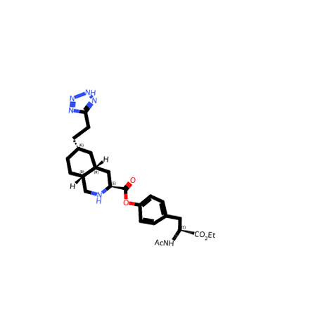 CCOC(=O)[C@H](Cc1ccc(OC(=O)[C@@H]2C[C@H]3C[C@@H](CCc4nn[nH]n4)CC[C@H]3CN2)cc1)NC(C)=O